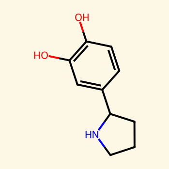 Oc1ccc(C2CCCN2)cc1O